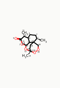 C[C@@H]1CCC2C3[C@H](OC(=O)[C@@H]2C)O[C@]2(C)CCC31COO2